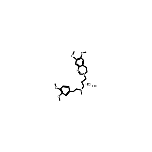 COc1ccc(CCN(C)CCCN2C=Nc3cc(OC)c(OC)cc3CC2)cc1OC.Cl.Cl